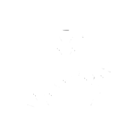 Cc1nc2c(Br)cc(F)cc2nc1O[C@@H]1C[C@H]2C(=O)N[C@]3(C(=O)NS(=O)(=O)C4CC4)C[C@H]3/C=C\CCCCC[C@H](NC(=O)c3noc(C)c3C)C(=O)N2C1